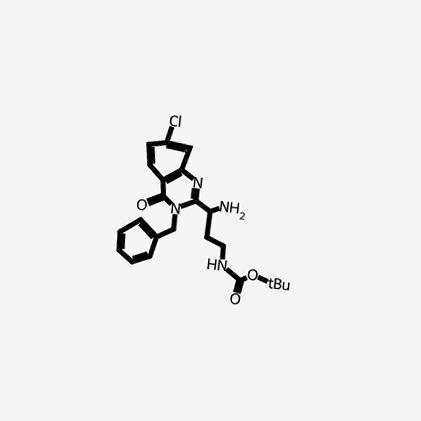 CC(C)(C)OC(=O)NCCC(N)c1nc2cc(Cl)ccc2c(=O)n1Cc1ccccc1